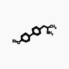 CCOc1ccc(-c2ccc(CC(C)N)cc2)cc1